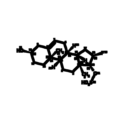 C[C@]12CC[C@H]3[C@@H](CC=C4C[C@@H](O)CC[C@@]43C)[C@@H]1C[C@@H](F)[C@@H]2OS(=O)(=O)O